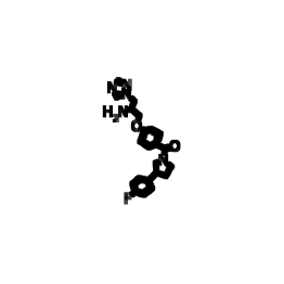 NC(COc1ccc(C(=O)N2CCC(c3ccc(F)cc3)C2)cc1)Cn1cncn1